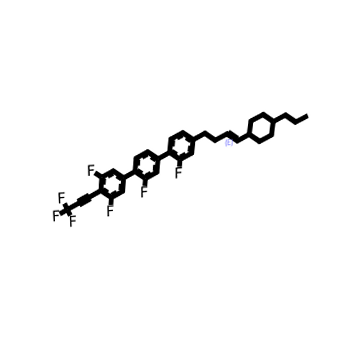 CCCC1CCC(/C=C/CCc2ccc(-c3ccc(-c4cc(F)c(C#CC(F)(F)F)c(F)c4)c(F)c3)c(F)c2)CC1